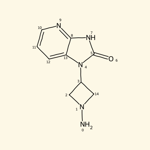 NN1CC(n2c(=O)[nH]c3ncccc32)C1